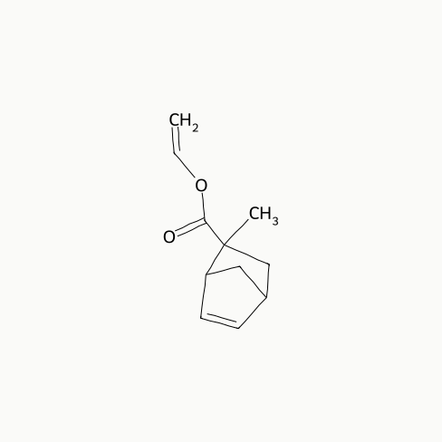 C=COC(=O)C1(C)CC2C=CC1C2